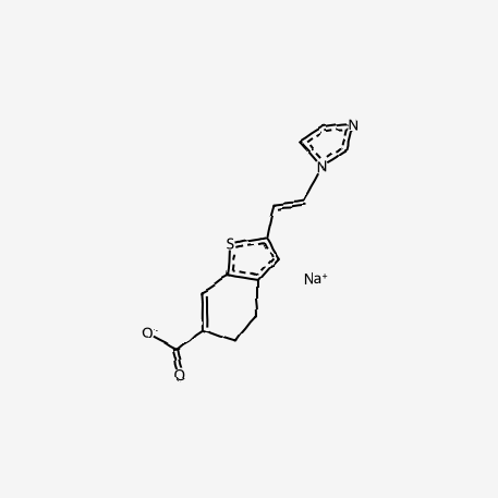 O=C([O-])C1=Cc2sc(C=Cn3ccnc3)cc2CC1.[Na+]